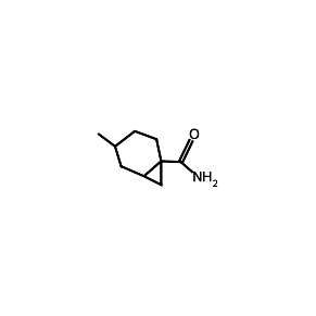 CC1CCC2(C(N)=O)CC2C1